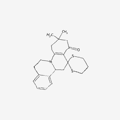 CC1(C)CC(=O)C2=C(C1)N1CCc3ccccc3C1CC21SCCCS1